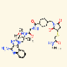 CCCCCCCCCNC(=O)CSC1CC(=O)N(CC2CCC(C(=O)NCC(=O)NC(C)(C)Cn3c(COCC)nc4c(N)nc5ccccc5c43)CC2)C1=O